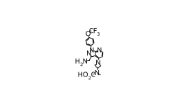 CN(C(=O)O)C1CN(c2ccnc3c2c(CN)nn3-c2ccc(OC(F)(F)F)cc2)C1